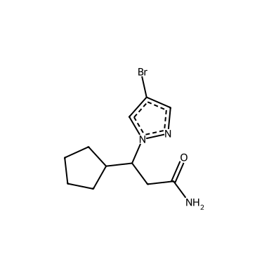 NC(=O)CC(C1CCCC1)n1cc(Br)cn1